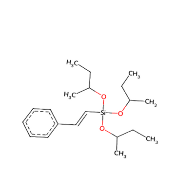 CCC(C)O[Si](C=Cc1ccccc1)(OC(C)CC)OC(C)CC